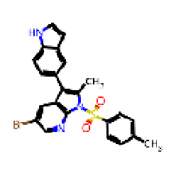 Cc1ccc(S(=O)(=O)n2c(C)c(-c3ccc4[nH]ccc4c3)c3cc(Br)cnc32)cc1